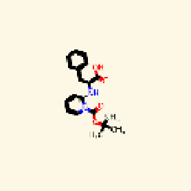 CC(C)(C)OC(=O)N1C=CC=C[C@@H]1NC(Cc1ccccc1)C(=O)O